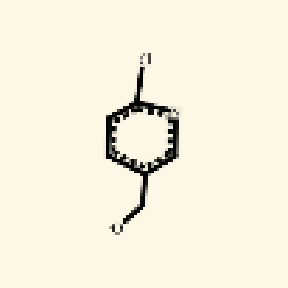 [O]Cc1ccc(Cl)nc1